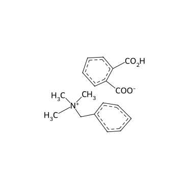 C[N+](C)(C)Cc1ccccc1.O=C([O-])c1ccccc1C(=O)O